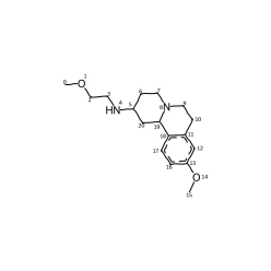 COCCNC1CCN2CCc3cc(OC)ccc3C2C1